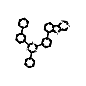 c1ccc(-c2cccc(-c3nc(-c4ccccc4)nc(-c4cccc(-c5cccc6c5sc5cncnc56)c4)n3)c2)cc1